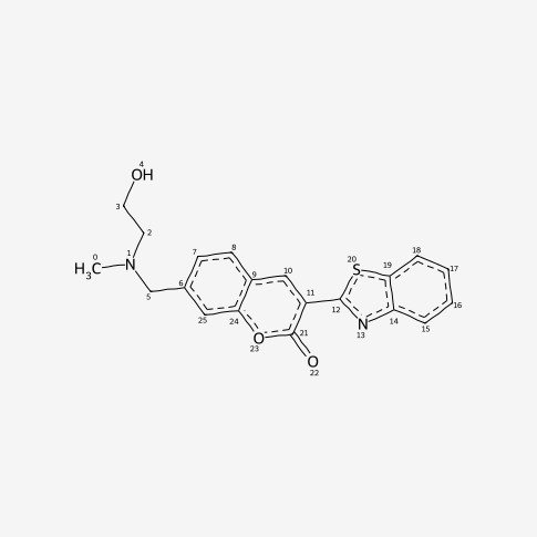 CN(CCO)Cc1ccc2cc(-c3nc4ccccc4s3)c(=O)oc2c1